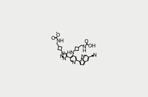 COC(=O)NCC1CC(n2cc(-c3cnc(-c4ccc5cc(C#N)cnn45)cc3NC3CC(CNC(=O)O)C3)nn2)C1